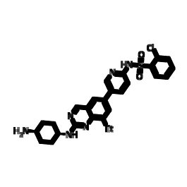 CCc1cc(-c2ccc(NS(=O)(=O)c3ccccc3Cl)nc2)cc2cnc(N[C@H]3CC[C@H](N)CC3)nc12